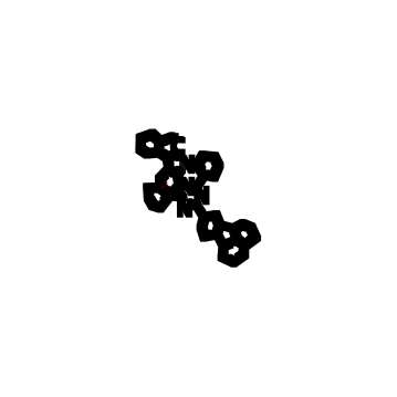 c1ccc(-c2nc(-c3ccc4c(c3)-c3cccc5cccc-4c35)nc(-c3ccccc3-n3c4ccccc4c4c5ccccc5ccc43)n2)cc1